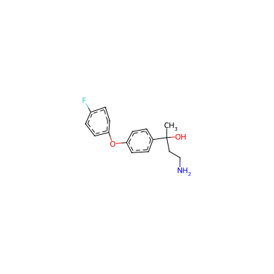 CC(O)(CCN)c1ccc(Oc2ccc(F)cc2)cc1